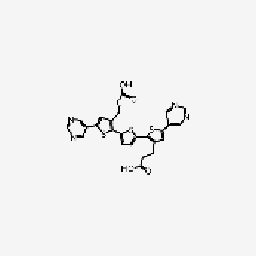 O=C(O)CCc1cc(-c2cncnc2)sc1-c1ccc(-c2sc(-c3cncnc3)cc2CCC(=O)O)s1